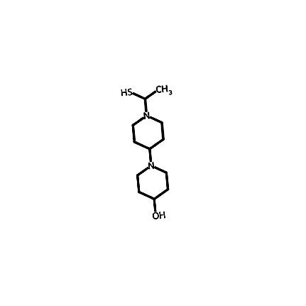 CC(S)N1CCC(N2CCC(O)CC2)CC1